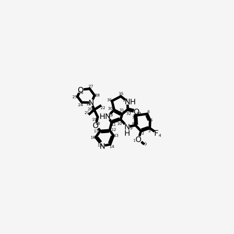 COc1c(F)cccc1Nc1c(-c2ccncc2OCC(C)(C)N2CCOCC2)[nH]c2c1C(=O)NCC2